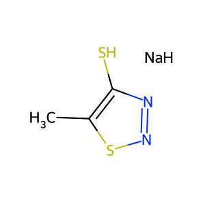 Cc1snnc1S.[NaH]